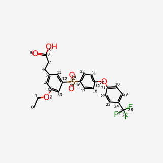 CCOc1cc(CCC(=O)O)cc(S(=O)(=O)c2ccc(Oc3ccc(C(F)(F)F)cc3)cc2)c1